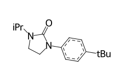 CC(C)N1CCN(c2ccc(C(C)(C)C)cc2)C1=O